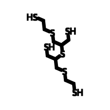 SCCSCC(CS)SC(CS)CSCCS